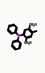 Cc1cc(C(=O)O)c(P(c2ccccc2)c2ccccc2)cc1C(=O)O